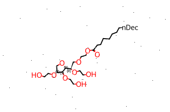 CCCCCCCCCCCCCCCCCC(=O)OCCOC[C@@H](OCCO)[C@H]1OC[C@@H](OCCO)[C@@H]1OCCO